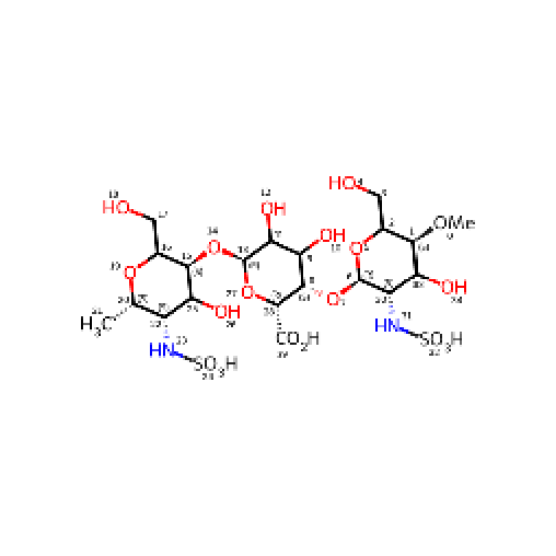 CO[C@@H]1C(CO)O[C@H](O[C@H]2C(O)C(O)[C@H](O[C@@H]3C(CO)O[C@@H](C)[C@@H](NS(=O)(=O)O)C3O)O[C@H]2C(=O)O)[C@@H](NS(=O)(=O)O)C1O